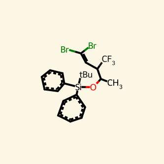 CC(O[Si](c1ccccc1)(c1ccccc1)C(C)(C)C)C(C=C(Br)Br)C(F)(F)F